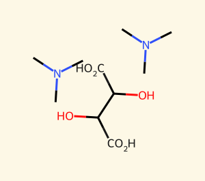 CN(C)C.CN(C)C.O=C(O)C(O)C(O)C(=O)O